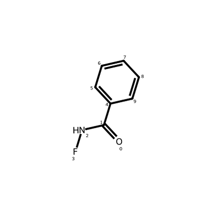 O=C(NF)c1ccccc1